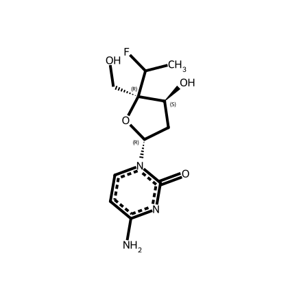 CC(F)[C@]1(CO)O[C@@H](n2ccc(N)nc2=O)C[C@@H]1O